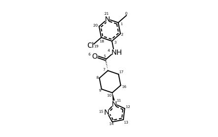 Cc1cc(NC(=O)[C@H]2CC[C@H](n3cccn3)CC2)c(Cl)cn1